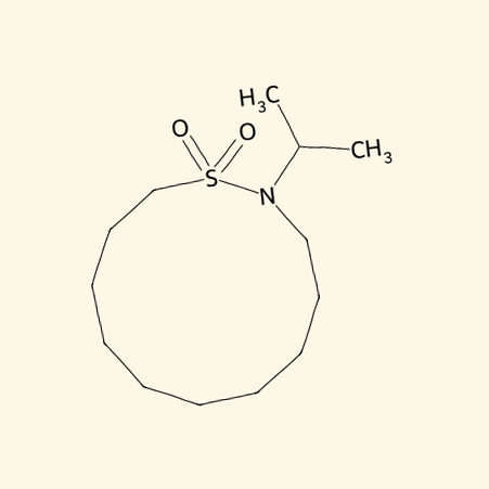 CC(C)N1CCCCCCCCCCS1(=O)=O